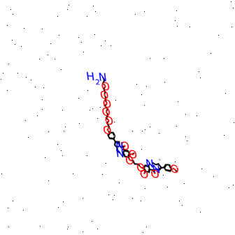 COc1ccc(C2=CN3C(=O)c4cc(OC)c(OCCCOc5cc6c(cc5OC)C(=O)N5C=C(c7ccc(OCCOCCOCCOCCOCCOCCN)cc7)CC5C=N6)cc4N=CC3C2)cc1